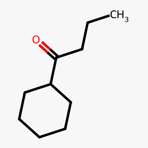 CCCC(=O)C1CCCCC1